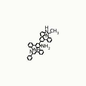 CCC1Nc2ccccc2N1c1ccccc1-c1cccc(-c2cc(-c3ccccc3C3N=C(c4ccccc4)C=C(c4ccccc4)N3)ccc2N)c1